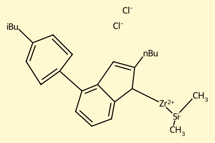 CCCCC1=Cc2c(-c3ccc(C(C)CC)cc3)cccc2[CH]1[Zr+2][Si](C)C.[Cl-].[Cl-]